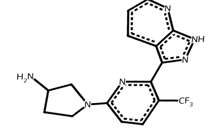 NC1CCN(c2ccc(C(F)(F)F)c(-c3n[nH]c4ncccc34)n2)C1